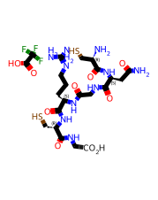 NC(=O)C[C@H](NC(=O)[C@@H](N)CS)C(=O)NCC(=O)N[C@@H](CCCN=C(N)N)C(=O)N[C@@H](CS)C(=O)NCC(=O)O.O=C(O)C(F)(F)F